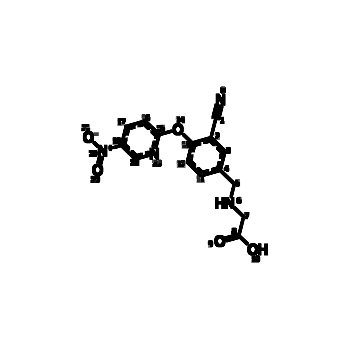 N#Cc1cc(CNCC(=O)O)ccc1Oc1ccc([N+](=O)[O-])cn1